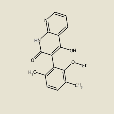 CCOc1c(C)ccc(C)c1-c1c(O)c2cccnc2[nH]c1=O